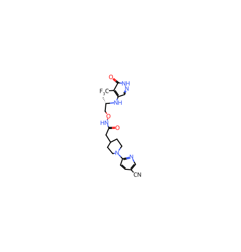 C[C@@H](CONC(=O)CC1CCN(c2ccc(C#N)cn2)CC1)Nc1cn[nH]c(=O)c1C(F)(F)F